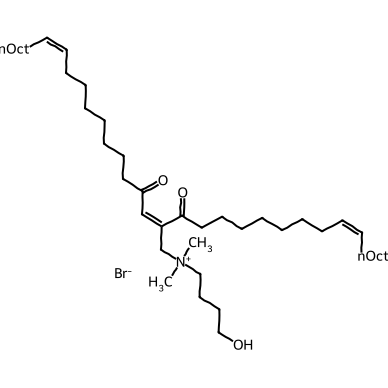 CCCCCCCC/C=C\CCCCCCCC(=O)C=C(C[N+](C)(C)CCCCO)C(=O)CCCCCCC/C=C\CCCCCCCC.[Br-]